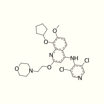 COc1ccc2c(Nc3c(Cl)cncc3Cl)cc(OCCN3CCOCC3)nc2c1OC1CCCC1